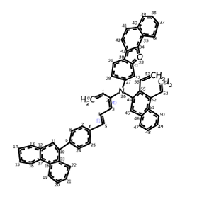 C=C/C(=C\C=C\c1ccc(-c2cc3ccccc3c3ccccc23)cc1)N(c1ccc2c(c1)oc1c3ccccc3ccc21)c1cc2ccccc2c(C=C)c1C=C